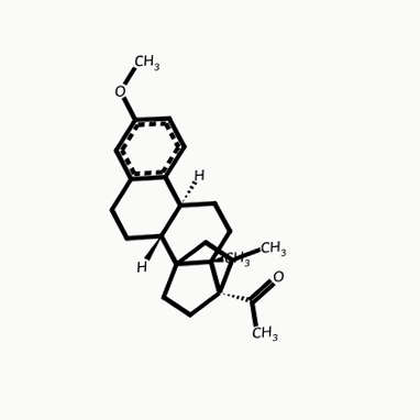 COc1ccc2c(c1)CC[C@@H]1[C@@H]2CC[C@@]2(C)C13CC[C@]2(C(C)=O)C(C)C3